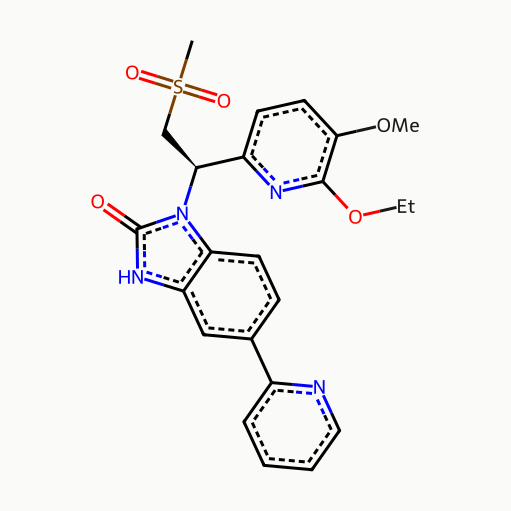 CCOc1nc([C@H](CS(C)(=O)=O)n2c(=O)[nH]c3cc(-c4ccccn4)ccc32)ccc1OC